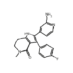 CN1CCc2[nH]c(-c3ccnc(N)c3)c(-c3ccc(F)cc3)c2C1=O